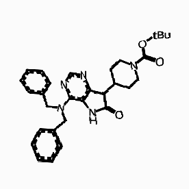 CC(C)(C)OC(=O)N1CCC(C2C(=O)Nc3c2ncnc3N(Cc2ccccc2)Cc2ccccc2)CC1